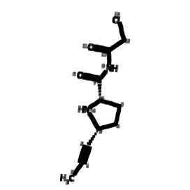 CC#C[C@H]1CC[C@@H](C(=O)NC(=O)CCl)N1